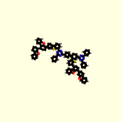 C1=CC(c2cccc3c2oc2ccccc23)C2C(=C1c1ccc3c(c1)sc1c(-c4nc(-c5ccccc5)nc(-c5ccc(-c6ccc(-c7nc(-c8ccccc8)nc(-c8ccccc8)n7)c7sc8c(-c9ccc(-c%10ccc%11c(c%10)oc%10ccccc%10%11)c%10oc%11ccccc%11c9%10)cccc8c67)cc5)n4)cccc13)Oc1ccccc12